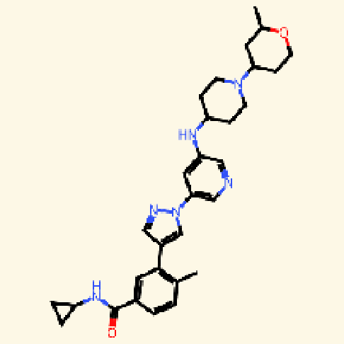 Cc1ccc(C(=O)NC2CC2)cc1-c1cnn(-c2cncc(NC3CCN(C4CCOC(C)C4)CC3)c2)c1